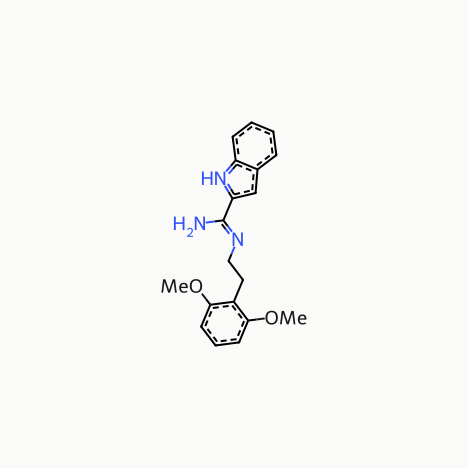 COc1cccc(OC)c1CCN=C(N)c1cc2ccccc2[nH]1